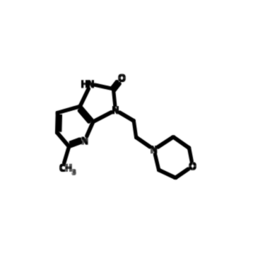 Cc1ccc2[nH]c(=O)n(CCN3CCOCC3)c2n1